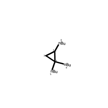 CCCC[C]1CC1(CCCC)CCCC